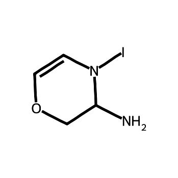 NC1COC=CN1I